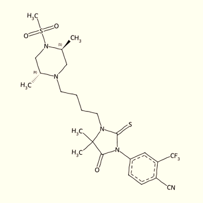 C[C@@H]1CN(S(C)(=O)=O)[C@@H](C)CN1CCCCN1C(=S)N(c2ccc(C#N)c(C(F)(F)F)c2)C(=O)C1(C)C